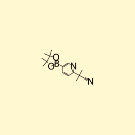 CC(C)(C#N)c1ccc(B2OC(C)(C)C(C)(C)O2)cn1